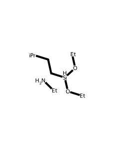 CCN.CCO[SiH](CCC(C)C)OCC